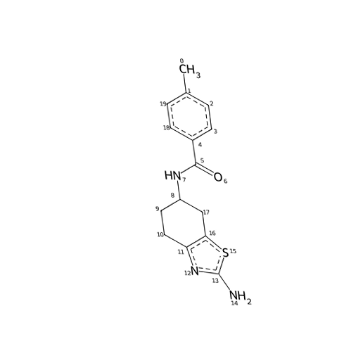 Cc1ccc(C(=O)NC2CCc3nc(N)sc3C2)cc1